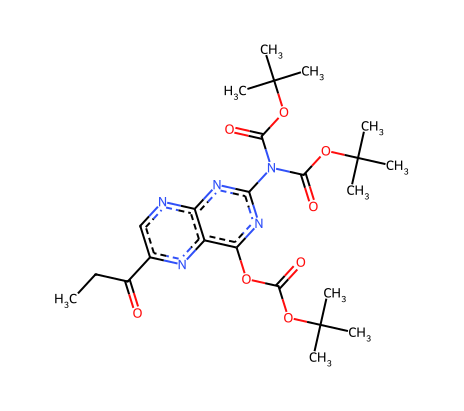 CCC(=O)c1cnc2nc(N(C(=O)OC(C)(C)C)C(=O)OC(C)(C)C)nc(OC(=O)OC(C)(C)C)c2n1